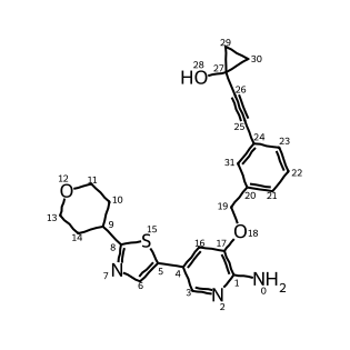 Nc1ncc(-c2cnc(C3CCOCC3)s2)cc1OCc1cccc(C#CC2(O)CC2)c1